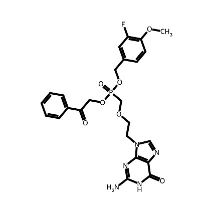 COc1ccc(COP(=O)(COCCn2cnc3c(=O)[nH]c(N)nc32)OCC(=O)c2ccccc2)cc1F